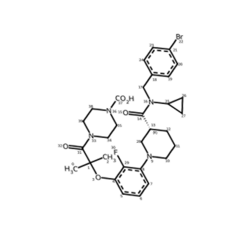 CC(C)(Oc1cccc(N2CCC[C@@H](C(=O)N(Cc3ccc(Br)cc3)C3CC3)C2)c1F)C(=O)N1CCN(C(=O)O)CC1